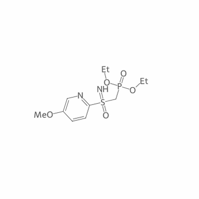 CCOP(=O)(CS(=N)(=O)c1ccc(OC)cn1)OCC